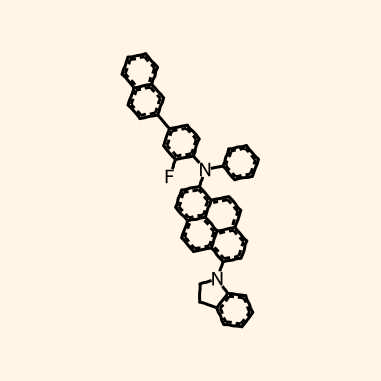 Fc1cc(-c2ccc3ccccc3c2)ccc1N(c1ccccc1)c1ccc2ccc3c(N4CCc5ccccc54)ccc4ccc1c2c43